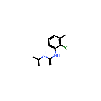 C=C(Nc1cccc(C)c1Cl)NC(C)C